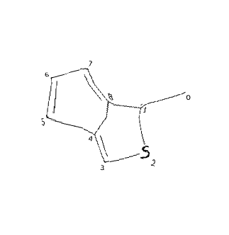 C[C]1SC=C2C=CC=C12